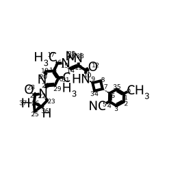 Cc1ccc(C#N)c([C@H]2C[C@@H](NC(=O)c3cn([C@H](C)c4cnc(N5C[C@H]6C[C@H]6C5=O)cc4C)nn3)C2)c1